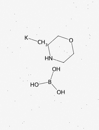 C1COCCN1.OB(O)O.[CH3][K]